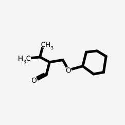 CC(C)C(C=O)COC1CCCCC1